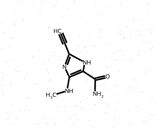 C#Cc1nc(NC)c(C(N)=O)[nH]1